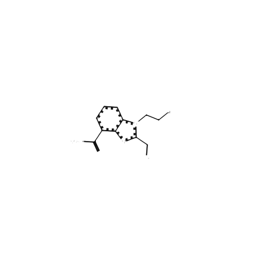 COC(=O)c1cccc2c1nc(CO)n2CCC(C)C